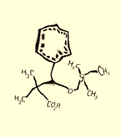 CC(C)(C(=O)O)C(O[Si](C)(C)C)c1ccccc1